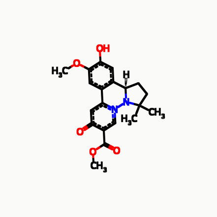 COC(=O)c1cn2c(cc1=O)-c1cc(OC)c(O)cc1[C@H]1CCC(C)(C)N12